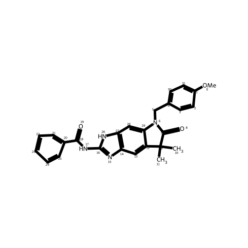 COc1ccc(CN2C(=O)C(C)(C)c3cc4nc(NC(=O)c5ccccc5)[nH]c4cc32)cc1